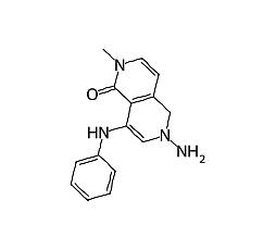 Cn1ccc2c(c1=O)C(Nc1ccccc1)=CN(N)C2